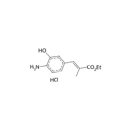 CCOC(=O)/C(C)=C/c1ccc(N)c(O)c1.Cl